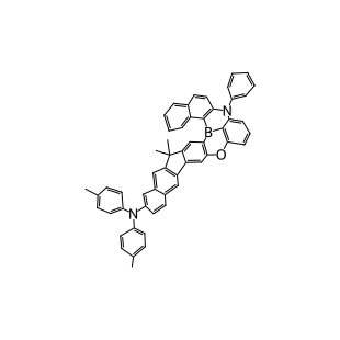 Cc1ccc(N(c2ccc(C)cc2)c2ccc3cc4c(cc3c2)C(C)(C)c2cc3c(cc2-4)Oc2cccc4c2B3c2c(ccc3ccccc23)N4c2ccccc2)cc1